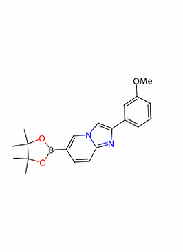 COc1cccc(-c2cn3cc(B4OC(C)(C)C(C)(C)O4)ccc3n2)c1